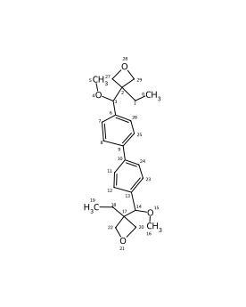 CCC1(C(OC)c2ccc(-c3ccc(C(OC)C4(CC)COC4)cc3)cc2)COC1